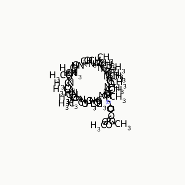 CCOP(=O)(COc1ccc(/C=C/C[C@@H](C)[C@@H](O)[C@H]2C(=O)N[C@@H](CC)C(=O)N(C)CC(=O)N(C)[C@@H](CC(C)C)C(=O)N[C@@H](C(C)C)C(=O)N(C)[C@@H](CC(C)C)C(=O)N[C@@H](C)C(=O)N[C@H](C)C(=O)N(C)[C@@H](CC(C)C)C(=O)N(C)[C@@H](CC(C)C)C(=O)N(C)[C@@H](C(C)C)C(=O)N2C)cc1)OC